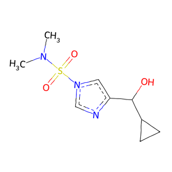 CN(C)S(=O)(=O)n1cnc(C(O)C2CC2)c1